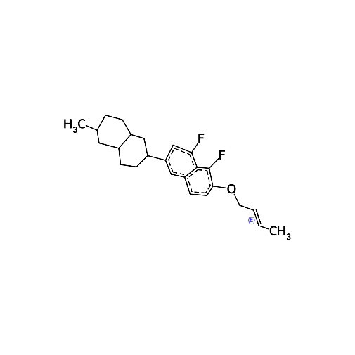 C/C=C/COc1ccc2cc(C3CCC4CC(C)CCC4C3)cc(F)c2c1F